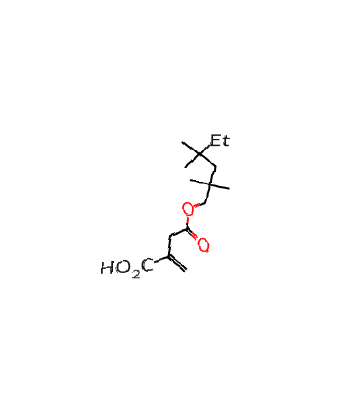 C=C(CC(=O)OCC(C)(C)CC(C)(C)CC)C(=O)O